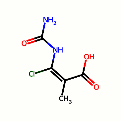 CC(C(=O)O)=C(Cl)NC(N)=O